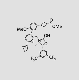 COc1ccc([C@H]2C[C@@H](C(=O)OC)C2)cc1-c1ccc(N2CCC2)nc1CN1C(O)O[C@H](c2cc(C(F)(F)F)cc(C(F)(F)F)c2)[C@@H]1C